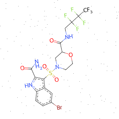 NC(=O)c1[nH]c2ccc(Br)cc2c1S(=O)(=O)N1CCOC(C(=O)NCC(F)(F)C(F)(F)C(F)(F)F)C1